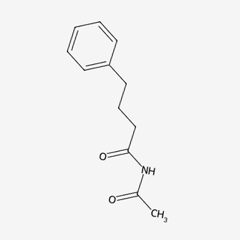 CC(=O)NC(=O)CCCc1ccccc1